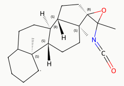 CC1(N=C=O)O[C@@]12CC[C@H]1[C@@H]3CCC4CCC[CH][C@]4(C)[C@H]3CC[C@@]12C